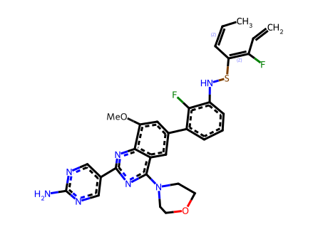 C=C/C(F)=C(\C=C/C)SNc1cccc(-c2cc(OC)c3nc(-c4cnc(N)nc4)nc(N4CCOCC4)c3c2)c1F